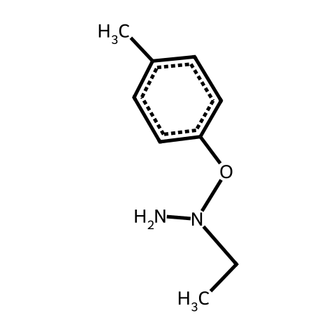 CCN(N)Oc1ccc(C)cc1